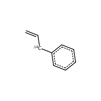 C=C[14CH]c1ccccc1